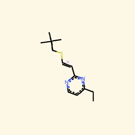 CCc1ccnc(/C=C/SCC(C)(C)C)n1